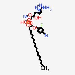 CCCCCCCCCCCCCCCCCCC[C@H](COCc1ccc(C#N)cc1F)OP(=O)(O)OC[C@@H](OC#N)[C@@H](O)Cc1ccc2c(N)ncnn12